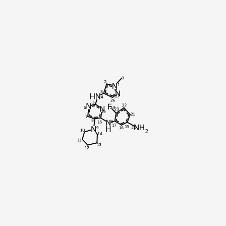 Cn1cc(Nc2ncc(N3CCCCC3)c(Nc3cc(N)ccc3F)n2)cn1